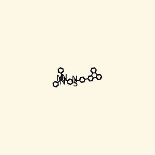 c1ccc(-c2nc(-c3ccccc3)nc(-c3ccc4sc(-c5ccc(-c6ccc7c8ccccc8c8ccccc8c7c6)cc5)nc4c3)n2)cc1